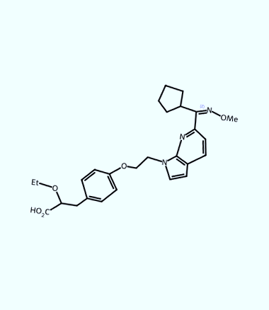 CCOC(Cc1ccc(OCCn2ccc3ccc(/C(=N\OC)C4CCCC4)nc32)cc1)C(=O)O